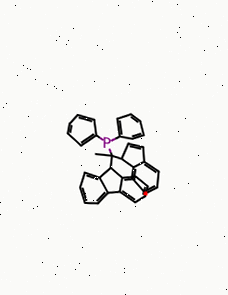 CC(C1C=Cc2ccccc21)(C1c2ccccc2-c2ccccc21)P(c1ccccc1)c1ccccc1